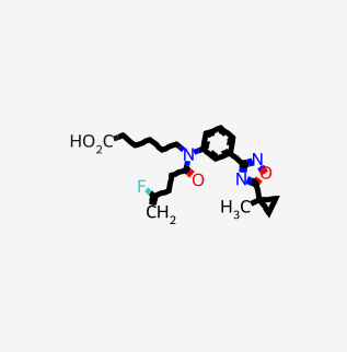 C=C(F)CCC(=O)N(CCCCCC(=O)O)c1cccc(-c2noc(C3(C)CC3)n2)c1